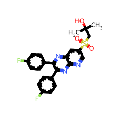 CC(C)(O)CS(=O)(=O)c1cnc2nc(-c3ccc(F)cc3)c(-c3ccc(F)cc3)nc2c1